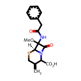 C=C1CS[C@@H]2N(C(=O)C2(NC(=O)Cc2ccccc2)OC)C1C(=O)O